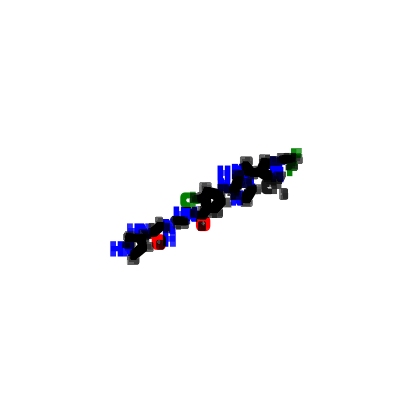 O=C(CNCCNC(=O)c1ccc(Nc2nccn3c(-c4cn(CC(F)F)nc4C(F)(F)F)cnc23)cc1Cl)N[C@@H]1CCNC1